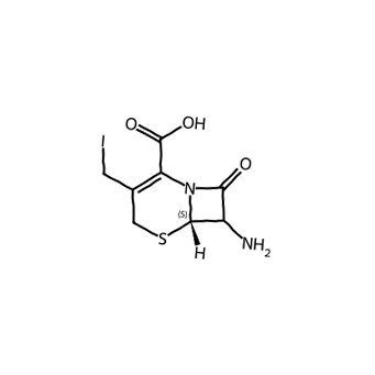 NC1C(=O)N2C(C(=O)O)=C(CI)CS[C@@H]12